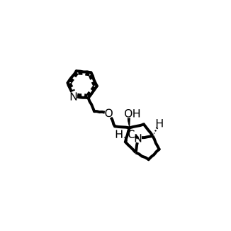 CN1C2CC[C@@H]1C[C@@](O)(COCc1ccccn1)C2